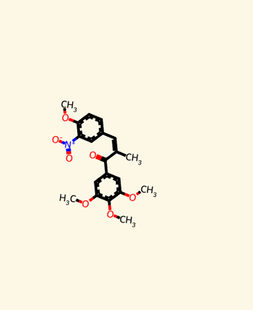 COc1ccc(C=C(C)C(=O)c2cc(OC)c(OC)c(OC)c2)cc1[N+](=O)[O-]